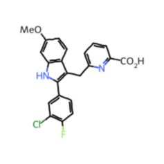 COc1ccc2c(Cc3cccc(C(=O)O)n3)c(-c3ccc(F)c(Cl)c3)[nH]c2c1